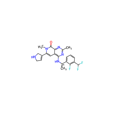 Cc1nc(N[C@H](C)c2cccc(C(F)F)c2F)c2cc(C3=CCNC3)n(C)c(=O)c2n1